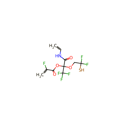 C=CNC(=O)C(OCC(F)(F)S)(OC(=O)C(=C)F)C(F)(F)F